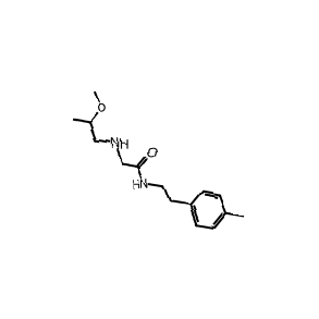 COC(C)CNCC(=O)NCCc1ccc(C)cc1